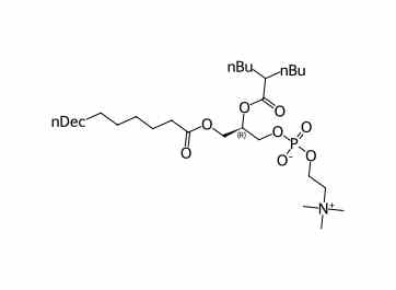 CCCCCCCCCCCCCCCC(=O)OC[C@H](COP(=O)([O-])OCC[N+](C)(C)C)OC(=O)C(CCCC)CCCC